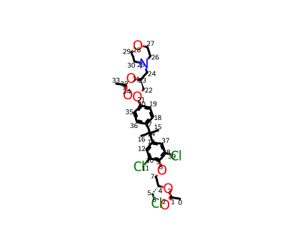 CC(=O)O[C@H](CCl)COc1c(Cl)cc(C(C)(C)c2ccc(OC[C@H](CN3CCOCC3)OC(C)=O)cc2)cc1Cl